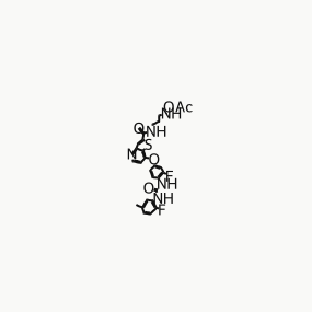 CC(=O)ONCCCNC(=O)c1cc2nccc(Oc3ccc(NC(=O)Nc4cc(C)ccc4F)c(F)c3)c2s1